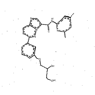 Cc1cc(C)nc(NC(=O)c2cnc3ccc(-c4cccc(OCC(O)CO)c4)nn23)c1